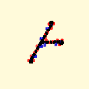 O=C(CCOCCOCCNC(=O)CCN1C(=O)C=CC1=O)NCCC=C(CCNC(=O)CCOCCOCCNC(=O)CCN1C(=O)C=CC1=O)CCNC(=O)CCOCCOCCNC(=O)CCN1C(=O)C=CC1=O